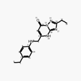 CCc1ccc(NCc2cc(=O)n3nc(CC)nc3[nH]2)cc1